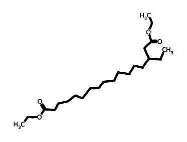 CCOC(=O)CCCCCCCCCCCCCC(CC)CC(=O)OCC